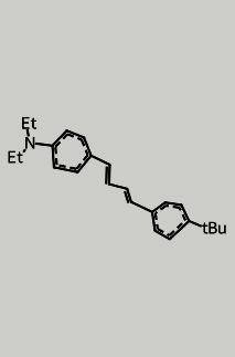 CCN(CC)c1ccc(/C=C/C=C/c2ccc(C(C)(C)C)cc2)cc1